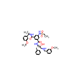 CCS(=O)(=O)Nc1cc(C(=O)N[C@@H](Cc2ccccc2)[C@H](O)CNCc2cccc(OC)c2)cc(C(=O)N[C@H](C)c2cccc(OC)c2)c1